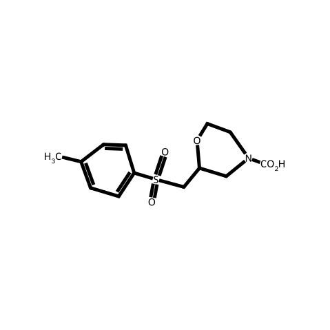 Cc1ccc(S(=O)(=O)CC2CN(C(=O)O)CCO2)cc1